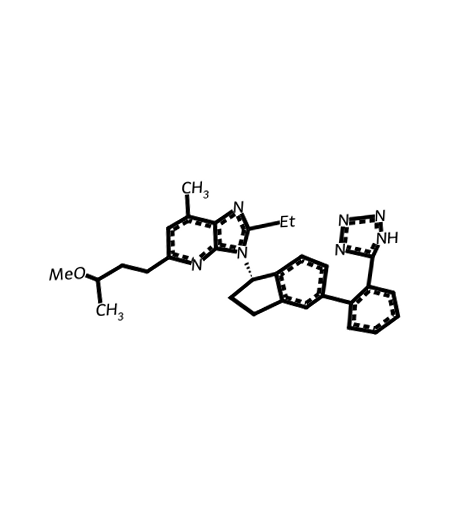 CCc1nc2c(C)cc(CCC(C)OC)nc2n1[C@H]1CCc2cc(-c3ccccc3-c3nnn[nH]3)ccc21